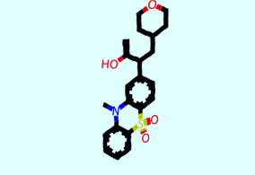 C=C(O)C(CC1CCOCC1)c1ccc2c(c1)N(C)c1ccccc1S2(=O)=O